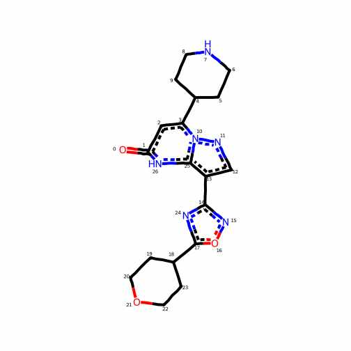 O=c1cc(C2CCNCC2)n2ncc(-c3noc(C4CCOCC4)n3)c2[nH]1